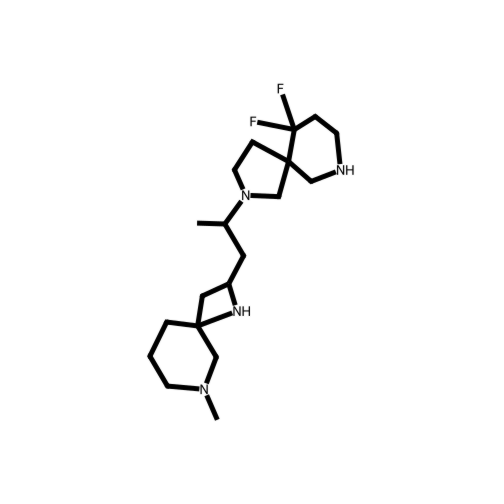 CC(CC1CC2(CCCN(C)C2)N1)N1CCC2(CNCCC2(F)F)C1